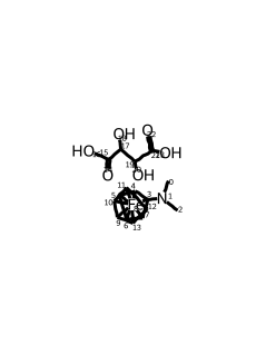 CN(C)[C]12[CH]3[CH]4[CH]5[CH]1[Fe]45321678[CH]2[CH]1[CH]6[CH]7[CH]28.O=C(O)C(O)C(O)C(=O)O